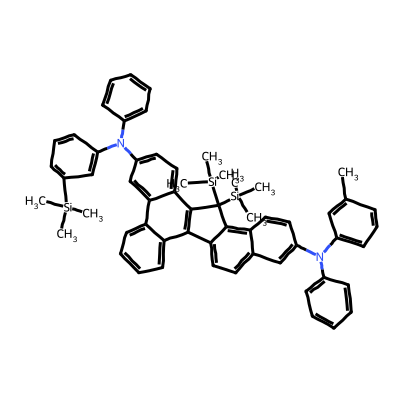 Cc1cccc(N(c2ccccc2)c2ccc3c4c(ccc3c2)-c2c(c3ccc(N(c5ccccc5)c5cccc([Si](C)(C)C)c5)cc3c3ccccc23)C4([Si](C)(C)C)[Si](C)(C)C)c1